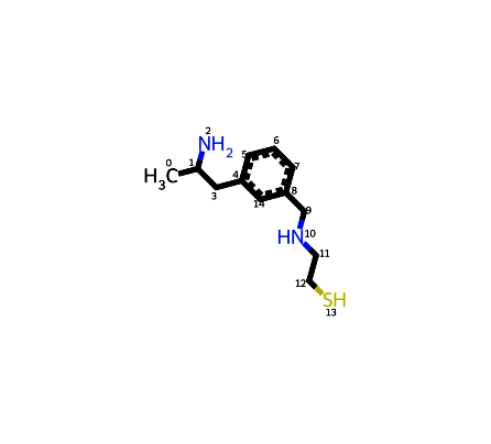 CC(N)Cc1cccc(CNCCS)c1